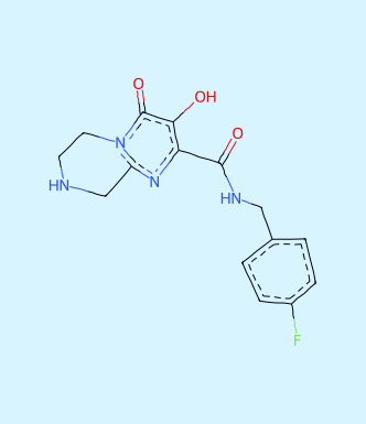 O=C(NCc1ccc(F)cc1)c1nc2n(c(=O)c1O)CCNC2